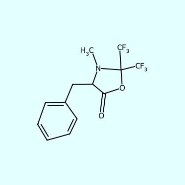 CN1C(Cc2ccccc2)C(=O)OC1(C(F)(F)F)C(F)(F)F